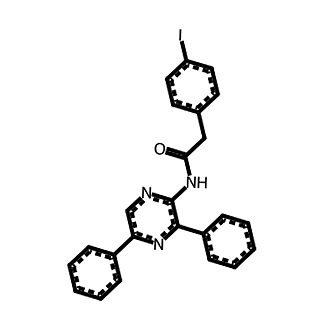 O=C(Cc1ccc(I)cc1)Nc1ncc(-c2ccccc2)nc1-c1ccccc1